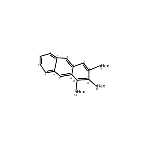 CCCCCCc1cc2cc3ccccc3cc2c(CCCCCC)c1CCCCCC